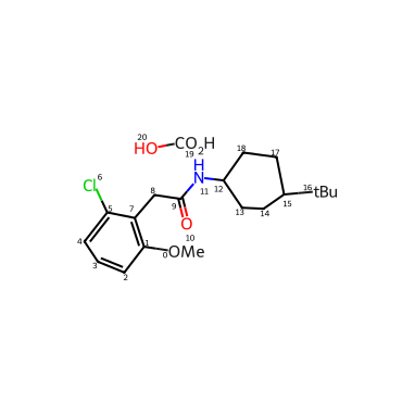 COc1cccc(Cl)c1CC(=O)NC1CCC(C(C)(C)C)CC1.O=C(O)O